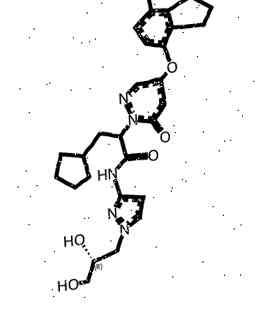 Cc1ccc(Oc2cnn(C(CC3CCCC3)C(=O)Nc3ccn(C[C@@H](O)CO)n3)c(=O)c2)c2c1CCC2